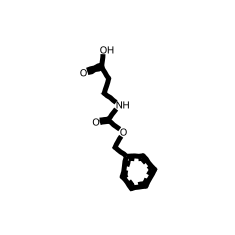 O=C(O)C[CH]NC(=O)OCc1ccccc1